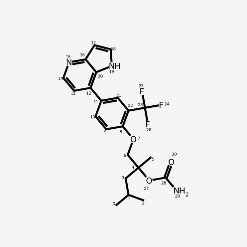 CC(C)CC(C)(COc1ccc(-c2ccnc3cc[nH]c23)cc1C(F)(F)F)OC(N)=O